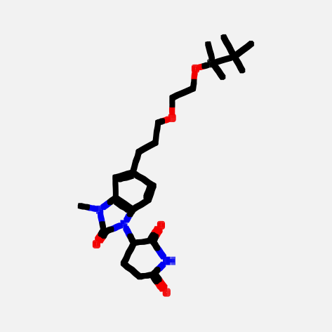 Cn1c(=O)n(C2CCC(=O)NC2=O)c2ccc(CCCOCCO[Si](C)(C)C(C)(C)C)cc21